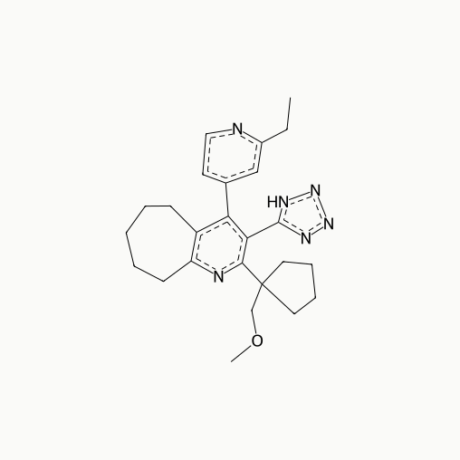 CCc1cc(-c2c3c(nc(C4(COC)CCCC4)c2-c2nnn[nH]2)CCCCC3)ccn1